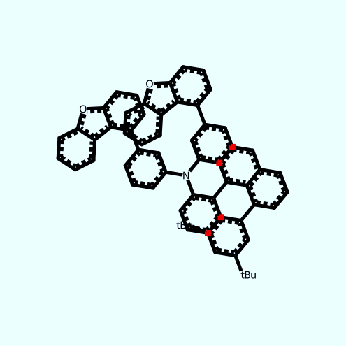 CC(C)(C)c1cc(-c2cccc3cccc(-c4ccccc4N(c4cccc(-c5cccc6oc7ccccc7c56)c4)c4cccc(-c5cccc6oc7ccccc7c56)c4)c23)cc(C(C)(C)C)c1